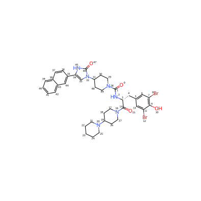 O=C(N[C@H](Cc1cc(Br)c(O)c(Br)c1)C(=O)N1CCC(N2CCCCC2)CC1)N1CCC(n2cc(-c3ccc4ccccc4c3)[nH]c2=O)CC1